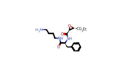 CCOC(=O)[C@H]1O[C@@H]1C(=O)N[C@@H](Cc1ccccc1)C(=O)NCCCCN